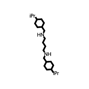 CC(C)C1CCC(CNCCCCNCC2CCC(C(C)C)CC2)CC1